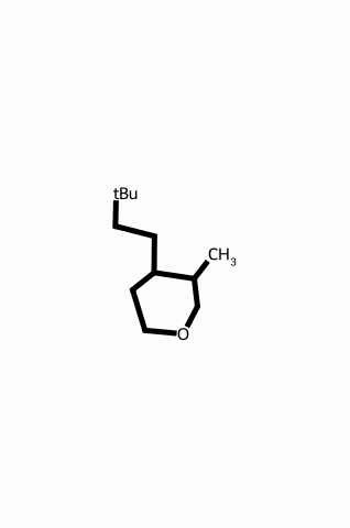 CC1COCCC1CCC(C)(C)C